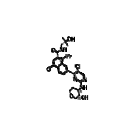 CC(C)n1c(C(=O)NCC(C)(C)O)cc(=O)c2ccc(-c3nc(N[C@@H]4CCOC[C@H]4O)ncc3Cl)cc21